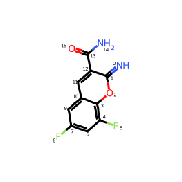 N=c1oc2c(F)cc(F)cc2cc1C(N)=O